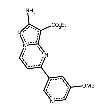 CCOC(=O)c1c(N)nn2ccc(-c3cncc(OC)c3)nc12